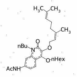 CCCCCCOc1c(OCC=C(C)CCC=C(C)C)c(=O)n(CCCC)c2cc(NC(C)=O)ccc12